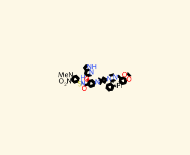 CNc1ccc(SNC(=O)c2ccc(N3CC4(CC(N5CCN(Cc6cccc7c6OCCO7)C[C@@H]5c5ccccc5C(C)C)C4)C3)cc2Oc2cnc3[nH]ccc3c2)cc1[N+](=O)[O-]